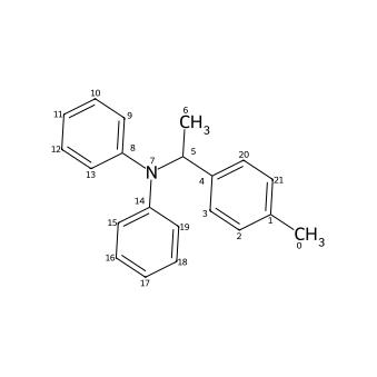 Cc1ccc(C(C)N(c2ccccc2)c2ccccc2)cc1